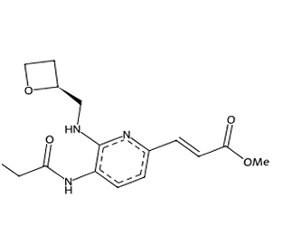 COC(=O)/C=C/c1ccc(NC(=O)CCl)c(NC[C@@H]2CCO2)n1